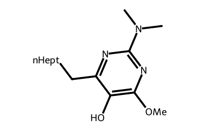 CCCCCCCCc1nc(N(C)C)nc(OC)c1O